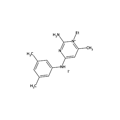 CC[n+]1c(C)cc(Nc2cc(C)cc(C)c2)nc1N.[I-]